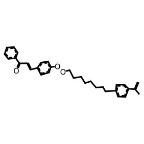 C=C(C)c1ccc(CCCCCCCCOOc2ccc(/C=C/C(=O)c3ccccc3)cc2)cc1